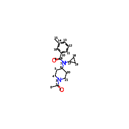 CC(=O)N1CCC(N(C(=O)c2cccc(C)c2)C2CC2)CC1